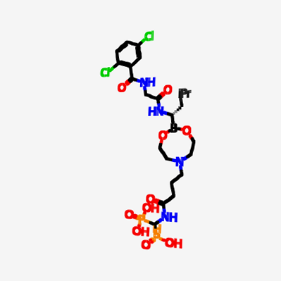 CC(C)C[C@@H](NC(=O)CNC(=O)c1cc(Cl)ccc1Cl)B1OCCN(CCCC(=O)NC([PH](=O)O)P(=O)(O)O)CCO1